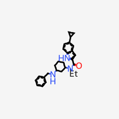 CCN(C(=O)c1cc2cc(C3CC3)ccc2[nH]1)C1CCCC(NCc2ccccc2)C1